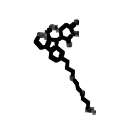 C=Nc1c(/C=C\C)c2ccc(CCCOCCOCCN)cc2n1C1CCC(=O)NC1=O